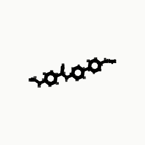 CCCCCCCc1ccc(-c2ccc(OC(=O)c3ccc(OCCCC)cc3)cc2)cc1